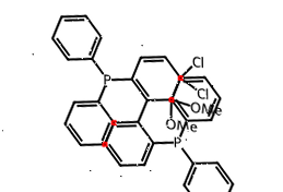 COC1(OC)C(c2ccccc2P(c2ccccc2)c2ccccc2)=C(P(c2ccccc2)c2ccccc2)C=CC1(Cl)Cl